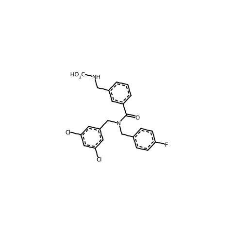 O=C(O)NCc1cccc(C(=O)N(Cc2ccc(F)cc2)Cc2cc(Cl)cc(Cl)c2)c1